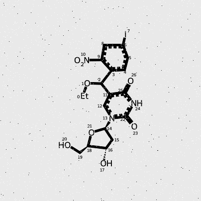 CCOC(c1ccc(I)cc1[N+](=O)[O-])c1cn([C@H]2C[C@H](O)[C@@H](CO)O2)c(=O)[nH]c1=O